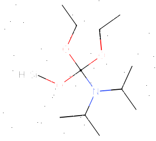 CCOC(O[SiH3])(OCC)N(C(C)C)C(C)C